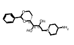 NC1CCN(C[C@H](O)[C@@H](O)[C@H]2CCOC(c3ccccc3)O2)CC1